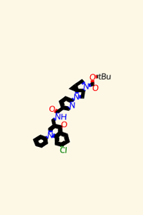 CC(C)(C)OC(=O)N1CC2CC23C1CN3c1ccc(C(=O)NCc2cn(-c3ccccc3)c3cc(Cl)ccc3c2=O)cn1